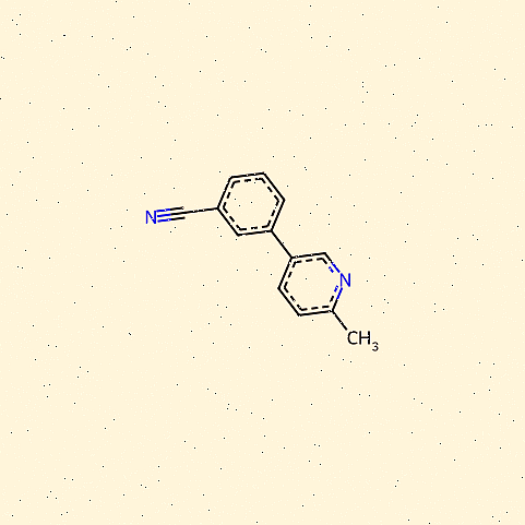 Cc1ccc(-c2cccc(C#N)c2)cn1